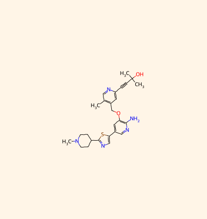 Cc1cnc(C#CC(C)(C)O)cc1COc1cc(-c2cnc(C3CCN(C)CC3)s2)cnc1N